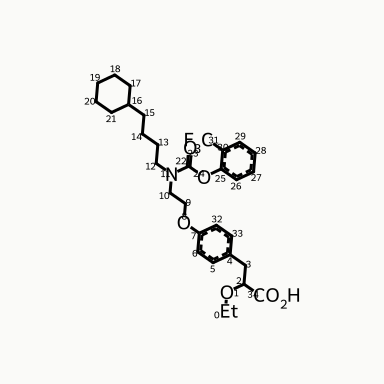 CCOC(Cc1ccc(OCCN(CCCCC2CCCCC2)C(=O)Oc2ccccc2C(F)(F)F)cc1)C(=O)O